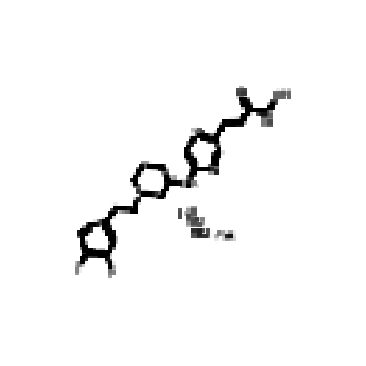 Cl.Cl.Cl.Cl.O=C(C=Cc1cnc(N[C@@H]2CCCN(CCc3ccc(F)c(F)c3)C2)cn1)NO